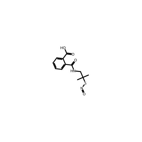 CC(C)(CNC(=O)c1ccccc1C(=O)O)SN=O